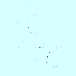 O=S1(=O)c2ccc(Br)c(F)c2CN1C1CCOC1